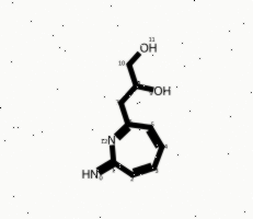 N=c1ccccc(CC(O)CO)n1